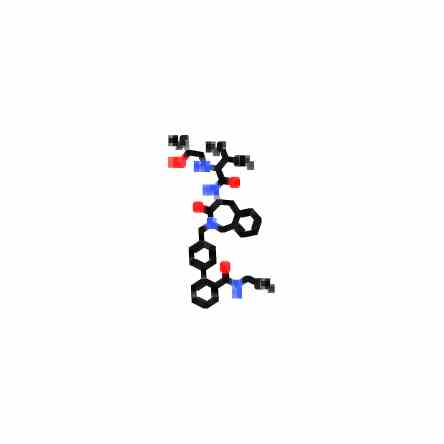 CCNC(=O)c1ccccc1-c1ccc(CN2Cc3ccccc3C[C@@H](NC(=O)C(NC[C@@H](C)O)C(C)C)C2=O)cc1